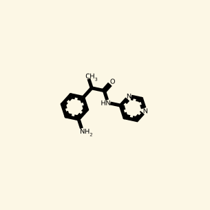 CC(C(=O)Nc1ccncn1)c1cccc(N)c1